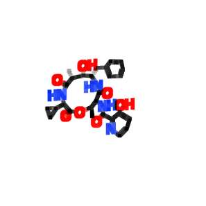 C[C@H]1OC(=O)C(C2CC2)NC(=O)[C@H](C)[C@H](O)[C@H](Cc2ccccc2)NC(=O)[C@H]1NC(=O)c1ncccc1O